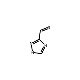 S=CC1=N[N]C=N1